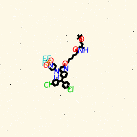 CC(C)(CCOC(C)(C)C)NC(=O)CCCCCOc1cc(NC2CCN(S(=O)(=O)C(F)(F)F)CC2)c2cc(C(c3ccc(Cl)cc3)c3ccc(Cl)cc3)ccc2n1